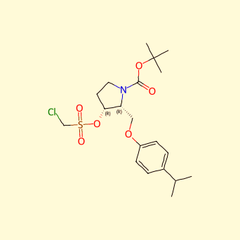 CC(C)c1ccc(OC[C@@H]2[C@H](OS(=O)(=O)CCl)CCN2C(=O)OC(C)(C)C)cc1